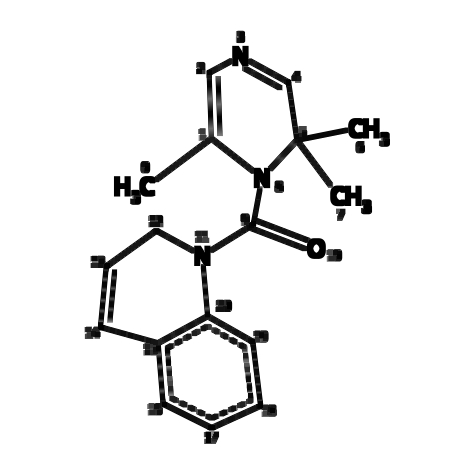 CC1=CN=CC(C)(C)N1C(=O)N1CC=Cc2ccccc21